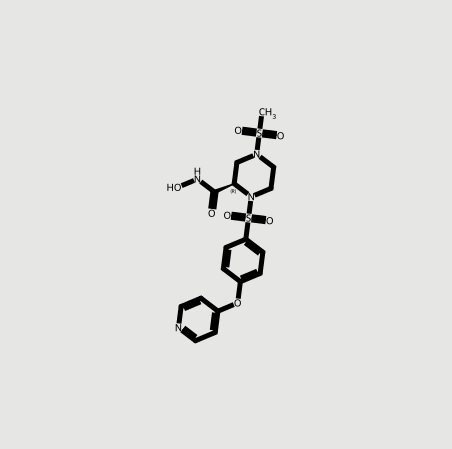 CS(=O)(=O)N1CCN(S(=O)(=O)c2ccc(Oc3ccncc3)cc2)[C@@H](C(=O)NO)C1